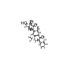 C=C(C)[C@H]1CN(c2ccccc2C)C(=O)c2cc(F)c(-n3nc(CO)n(CC)c3=O)cc21